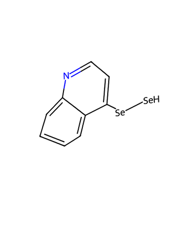 [SeH][Se]c1ccnc2ccccc12